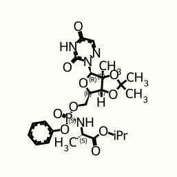 CC(C)OC(=O)[C@H](C)N[P@](=O)(OC[C@H]1O[C@@H](n2ncc(=O)[nH]c2=O)[C@]2(C)OC(C)(C)O[C@H]12)Oc1ccccc1